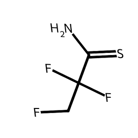 NC(=S)C(F)(F)CF